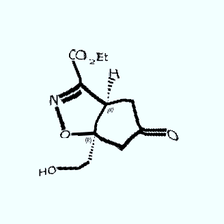 CCOC(=O)C1=NO[C@]2(CO)CC(=O)C[C@H]12